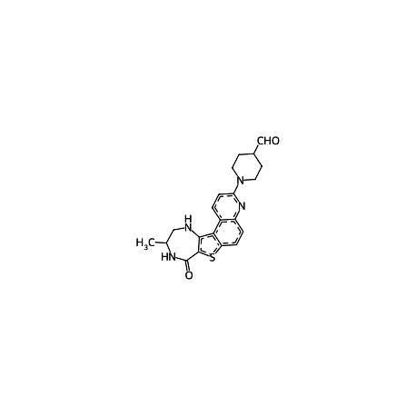 CC1CNc2c(sc3ccc4nc(N5CCC(C=O)CC5)ccc4c23)C(=O)N1